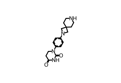 O=C1CCN(c2ccc(N3CC4(CCNCC4)C3)cc2)C(=O)N1